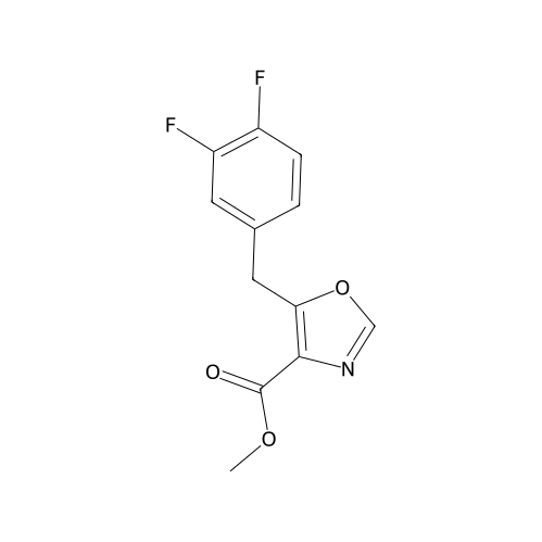 COC(=O)c1ncoc1Cc1ccc(F)c(F)c1